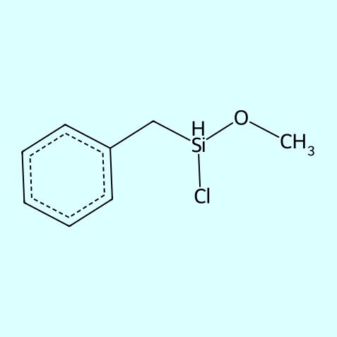 CO[SiH](Cl)Cc1ccccc1